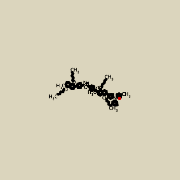 CCCCCCOc1c(C)ccc2c(OCCCCCC)c(-c3ccc(-c4nnc(-c5ccc(C(C)(C)c6ccc7c(OCCCCCC)c(-c8ccc(N(c9ccccc9)c9ccc(C)cc9)cc8)ccc7c6OCCCCCC)cc5)o4)cc3)ccc12